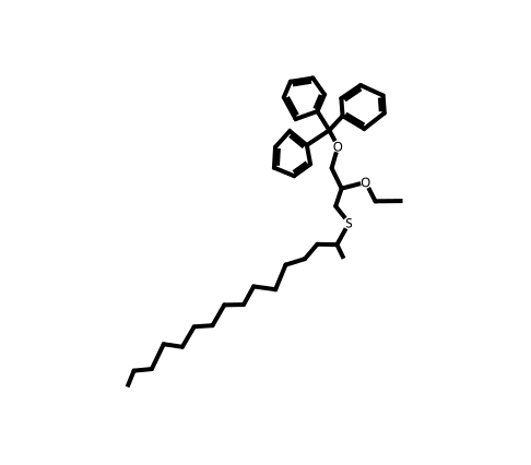 CCCCCCCCCCCCCCC(C)SCC(COC(c1ccccc1)(c1ccccc1)c1ccccc1)OCC